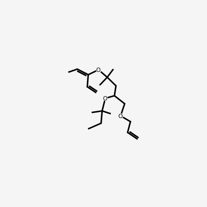 C=CCOCC(CC(C)(C)O/C(C=C)=C/C)OC(C)(C)CC